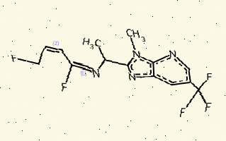 CC(/N=C(F)\C=C/CF)c1nc2cc(C(F)(F)F)cnc2n1C